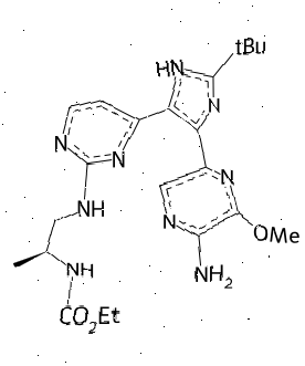 CCOC(=O)N[C@@H](C)CNc1nccc(-c2[nH]c(C(C)(C)C)nc2-c2cnc(N)c(OC)n2)n1